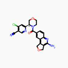 N#Cc1cnc([C@H]2COCCN2C(=O)c2ccc3nc(N)c4c(c3c2)COC4)cc1Cl